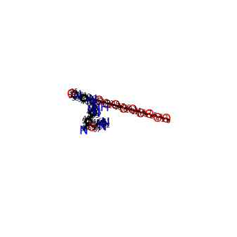 COCCOCCOCCOCCOCCOCCOCCOCCOc1nn(C2CCC(N3CCOCC3)CC2)cc1Nc1ncc(-c2ccc(C#N)c(O[C@@H](C)Cn3cncn3)c2)cn1